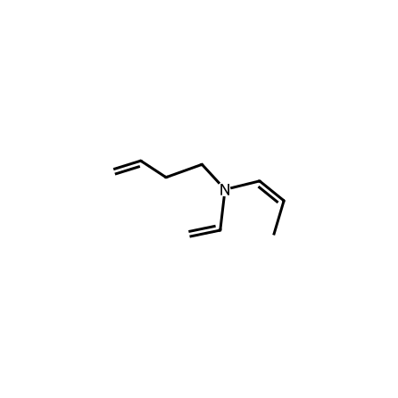 C=CCCN(C=C)/C=C\C